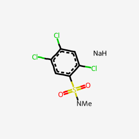 CNS(=O)(=O)c1cc(Cl)c(Cl)cc1Cl.[NaH]